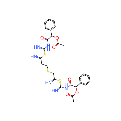 CC(=O)O[C@@H](C(=O)NC(=N)SC(=N)CCSCC(=N)SC(=N)NC(=O)[C@H](OC(C)=O)c1ccccc1)c1ccccc1